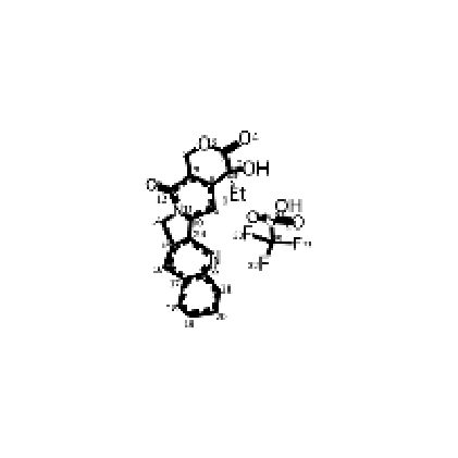 CC[C@@]1(O)C(=O)OCc2c1cc1n(c2=O)Cc2cc3ccccc3nc2-1.O=S(=O)(O)C(F)(F)F